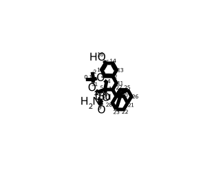 CC1(C)OCC(OC(N)=O)(C(Cc2ccc(O)cc2)C23CC4CC(CC(C4)C2)C3)C(C(C)(C)C)O1